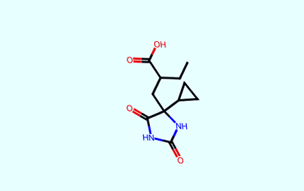 CCC(CC1(C2CC2)NC(=O)NC1=O)C(=O)O